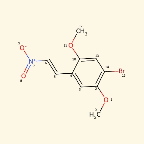 COc1cc(C=C[N+](=O)[O-])c(OC)cc1Br